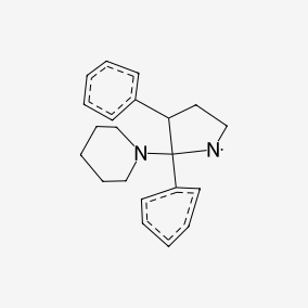 c1ccc(C2CC[N]C2(c2ccccc2)N2CCCCC2)cc1